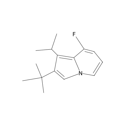 CC(C)c1c(C(C)(C)C)cn2cccc(F)c12